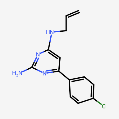 C=CCNc1cc(-c2ccc(Cl)cc2)nc(N)n1